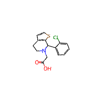 O=C(O)CN1CCc2ccsc2C1c1ccccc1Cl